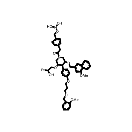 CCC(O)COC1CN(C(=O)Cc2ccc(CON(O)O)cc2)CC(OCc2cc(OC)c3ccccc3c2)C1c1ccc(OCCCOCc2ccccc2OC)cc1